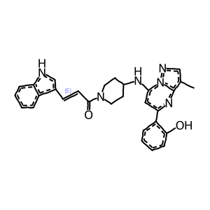 Cc1cnn2c(NC3CCN(C(=O)/C=C/c4c[nH]c5ccccc45)CC3)cc(-c3ccccc3O)nc12